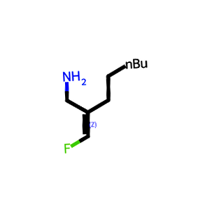 CCCCCC/C(=C/F)CN